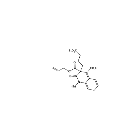 C=CCOC(=O)C1(CCCC(=O)OCC)C(=O)N(C(C)(C)C)C2=CCC=CC2=C1C(=O)O